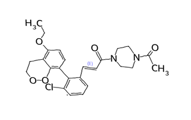 CCOc1ccc(-c2c(Cl)[c]ccc2/C=C/C(=O)N2CCN(C(C)=O)CC2)c2c1CCOO2